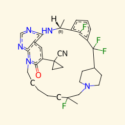 C[C@H]1Nc2ncnc3c2cc(C2(C#N)CC2)c(=O)n3CCCCCC(C)(F)CN2CCC(CC2)C(F)(F)c2cccc1c2F